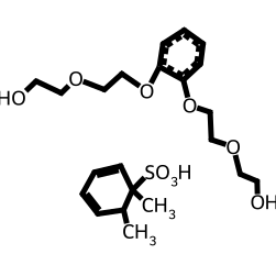 CC1C=CC=CC1(C)S(=O)(=O)O.OCCOCCOc1ccccc1OCCOCCO